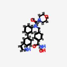 O=C(NO)c1ccc(CN(C(=O)N2CCOCC2)c2cccc(-c3ccc4[nH]ccc4c3)c2)cc1